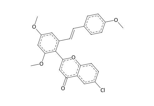 COc1ccc(C=Cc2cc(OC)cc(OC)c2-c2cc(=O)c3cc(Cl)ccc3o2)cc1